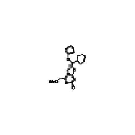 COCc1cc(=O)nc2n1C[C@@H](C(Oc1ccccc1)C1CC=CCC1)O2